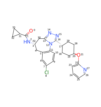 O=C(N[C@H]1Cc2cc(Cl)ccc2-n2c(nnc2[C@H]2CC[C@H](Oc3ccccn3)CC2)C1)C1CC1